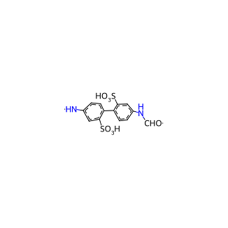 [NH]c1ccc(-c2ccc(N[C]=O)cc2S(=O)(=O)O)c(S(=O)(=O)O)c1